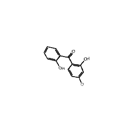 O=C(c1ccccc1O)c1ccc(Cl)cc1O